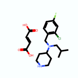 CC(C)CN(Cc1ccc(F)cc1Cl)C1CCNCC1.O=C(O)C=CC(=O)O